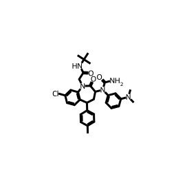 Cc1ccc(C2CC(N(C(N)=O)c3cccc(N(C)C)c3)C(=O)N(CC(=O)NC(C)(C)C)c3cc(Cl)ccc32)cc1